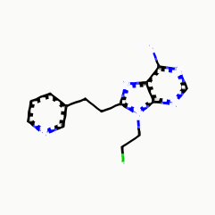 Nc1ncnc2c1nc(CCc1cccnc1)n2CCCl